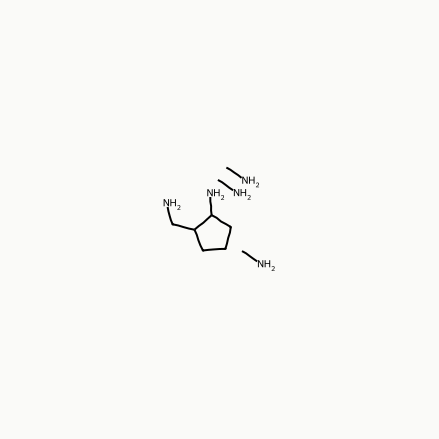 CN.CN.CN.NCC1CCCC1N